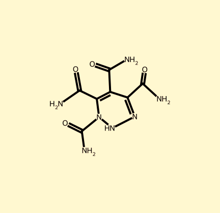 NC(=O)C1=NNN(C(N)=O)C(C(N)=O)=C1C(N)=O